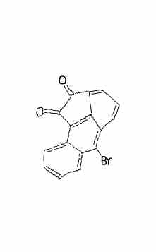 O=C1C(=O)c2c3ccccc3c(Br)c3cccc1c23